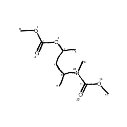 COC(=O)OC(C)CC(C)N(C)C(=O)OC